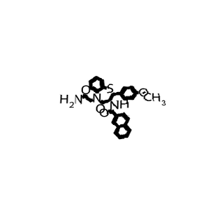 COc1ccc(C2Sc3ccccc3N(CC(N)=O)C(=O)C2NC(=O)c2ccc3ccccc3c2)cc1